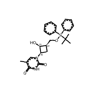 Cc1cn([C@@H]2C[C@H](CO[Si](c3ccccc3)(c3ccccc3)C(C)(C)C)[C@@H]2O)c(=O)[nH]c1=O